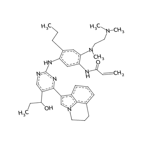 C=CC(=O)Nc1cc(Nc2ncc(C(O)CC)c(-c3cn4c5c(cccc35)CCC4)n2)c(CCC)cc1N(C)CCN(C)C